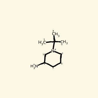 CC(C)(C)N1CCCC(N)C1